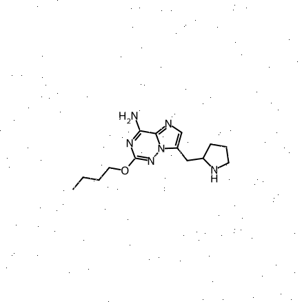 CCCCOc1nc(N)c2ncc(CC3CCCN3)n2n1